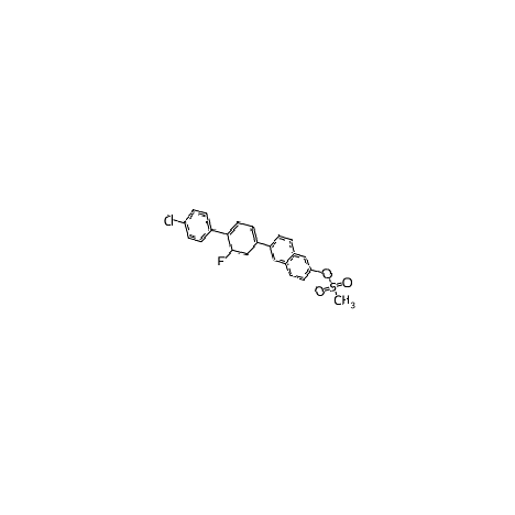 CS(=O)(=O)Oc1ccc2cc(C3=CC=C(c4ccc(Cl)cc4)C(F)C3)ccc2c1